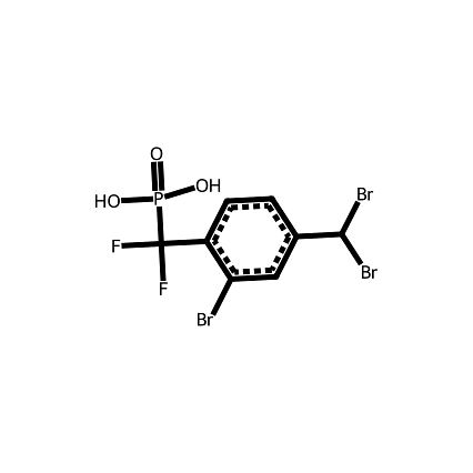 O=P(O)(O)C(F)(F)c1ccc(C(Br)Br)cc1Br